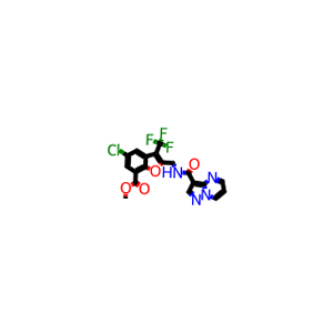 COC(=O)c1cc(Cl)cc2c(C(F)(F)F)c(CNC(=O)c3cnn4cccnc34)oc12